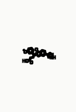 COc1cccc(C(CCC(=O)O)N2Cc3cc(-c4cn[nH]c4)ccc3C2=O)c1